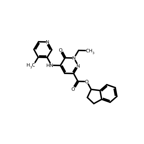 CCn1nc(C(=O)OC2CCc3ccccc32)cc(Nc2cnccc2C)c1=O